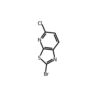 Clc1ccc2nc(Br)sc2n1